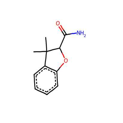 CC1(C)c2ccccc2OC1C(N)=O